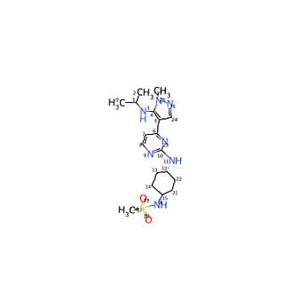 CC(C)Nc1c(-c2ccnc(N[C@H]3CC[C@H](NS(C)(=O)=O)CC3)n2)cnn1C